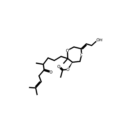 CC(=O)O[C@@H]1CC/C(=C\CO)COC1(C)CCCC(C)C(=O)CC=C(C)C